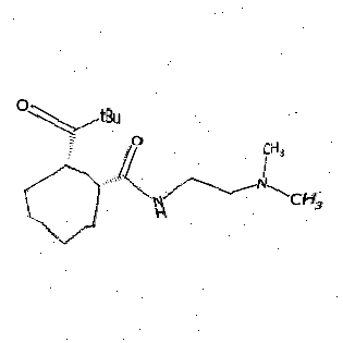 CN(C)CCNC(=O)[C@@H]1CCCC[C@@H]1C(=O)C(C)(C)C